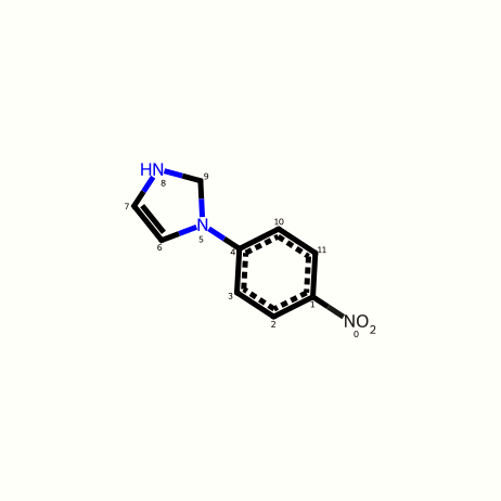 O=[N+]([O-])c1ccc(N2C=CNC2)cc1